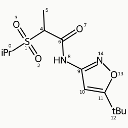 CC(C)S(=O)(=O)C(C)C(=O)Nc1cc(C(C)(C)C)on1